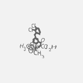 CN(n1cc(C(=O)O)c(=O)c2cc(Cc3cccc(Cl)c3Cl)ccc21)S(C)(=O)=O